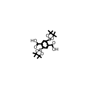 CC1(C)OB(c2cc(C(=O)O)c(B3OC(C)(C)C(C)(C)O3)cc2C(=O)O)OC1(C)C